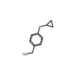 OCc1ccc(OC2CC2)cc1